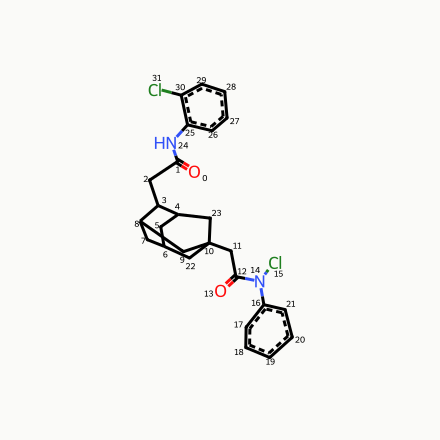 O=C(CC1C2CC3CC1CC(CC(=O)N(Cl)c1ccccc1)(C3)C2)Nc1ccccc1Cl